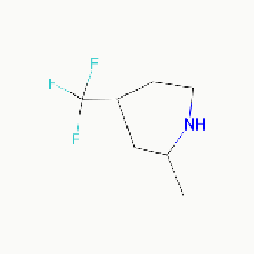 CC1CC(C(F)(F)F)CCN1